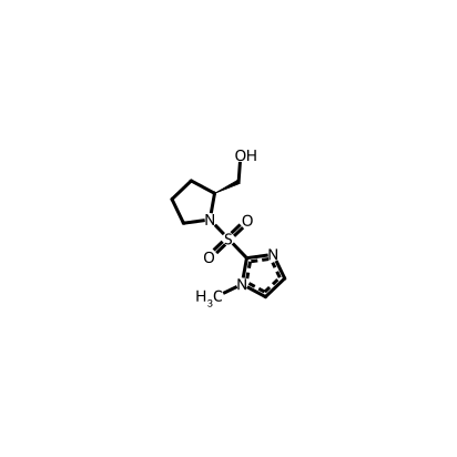 Cn1ccnc1S(=O)(=O)N1CCC[C@H]1CO